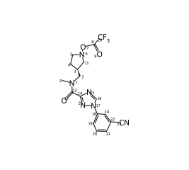 CN(C[C@H]1CCN(OC(=O)C(F)(F)F)C1)C(=O)c1ncn(-c2cccc(C#N)c2)n1